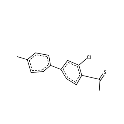 CC(=S)c1ccc(-c2ccc(C)cc2)cc1Cl